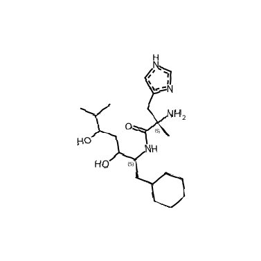 CC(C)C(O)CC(O)[C@H](CC1CCCCC1)NC(=O)[C@@](C)(N)Cc1c[nH]cn1